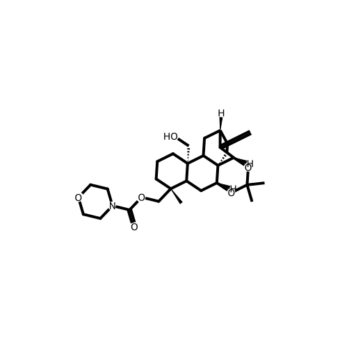 C=C1[C@H]2CC[C@@]34C(C2)[C@]2(CO)CCC[C@@](C)(COC(=O)N5CCOCC5)C2C[C@H]3OC(C)(C)O[C@@H]14